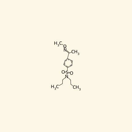 CCCN(CCC)S(=O)(=O)c1ccc(C(C)=NOC)cc1